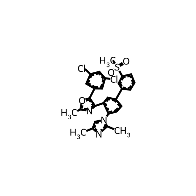 Cc1cn(-c2ccc(-c3cccc(S(C)(=O)=O)c3)cc2-c2nc(C)oc2-c2cc(Cl)cc(Cl)c2)c(C)n1